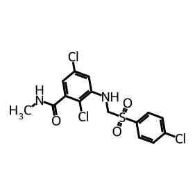 CNC(=O)c1cc(Cl)cc(NCS(=O)(=O)c2ccc(Cl)cc2)c1Cl